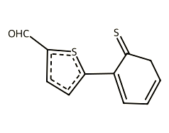 O=Cc1ccc(C2=CC=CCC2=S)s1